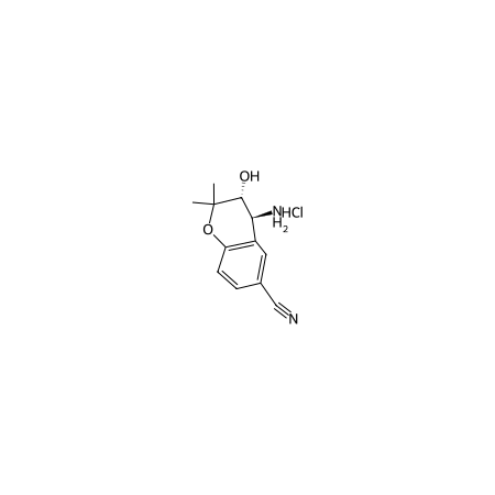 CC1(C)Oc2ccc(C#N)cc2[C@H](N)[C@H]1O.Cl